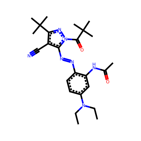 CCN(CC)c1ccc(/N=N/c2c(C#N)c(C(C)(C)C)nn2C(=O)C(C)(C)C)c(NC(C)=O)c1